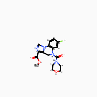 CC(C)(C)OC(=O)c1ncn2c1CN(C(=O)N1CCOCC1)c1cc(F)ccc1-2